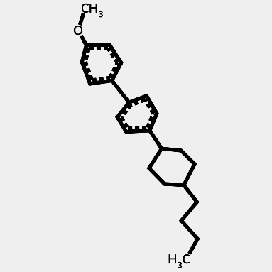 CCCCC1CCC(c2ccc(-c3ccc(OC)cc3)cc2)CC1